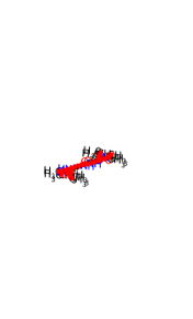 CC(C)(C)OC(=O)/N=C(/NCCCCCCCCNC(=O)CC(=O)NCCCCN(CCCNC(=O)OC(C)(C)C)C(=O)OC(C)(C)C)NC(=O)OC(C)(C)C